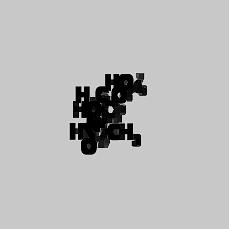 Cc1c(OCC2(O)CC2)ccc(C2=NNC(=O)CC2C)c1O